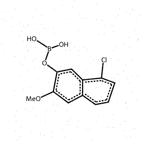 COc1cc2cccc(Cl)c2cc1OB(O)O